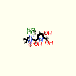 CC(C)(C)[NH+]([O-])CC(O)c1ccc(O)c(CO)n1.Cl.Cl